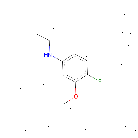 CCNc1ccc(F)c(OC)c1